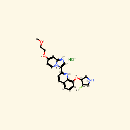 COCCOc1ccn2c(-c3ccc4cccc(OC5CNCC5F)c4n3)cnc2c1.Cl